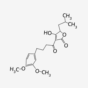 COc1ccc(CCCC(=O)C2=C(O)C(CC(C)C)OC2=O)cc1OC